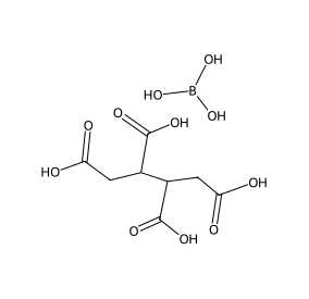 O=C(O)CC(C(=O)O)C(CC(=O)O)C(=O)O.OB(O)O